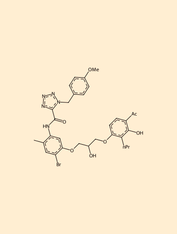 CCCc1c(OCC(O)COc2cc(NC(=O)c3nnnn3Cc3ccc(OC)cc3)c(C)cc2Br)ccc(C(C)=O)c1O